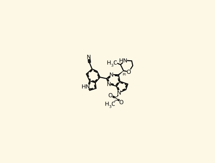 CC1NCCO[C@H]1c1nc(-c2cc(C#N)cc3[nH]ccc23)nc2c1ccn2S(C)(=O)=O